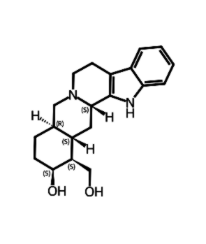 OC[C@@H]1[C@H]2C[C@H]3c4[nH]c5ccccc5c4CCN3C[C@@H]2CC[C@@H]1O